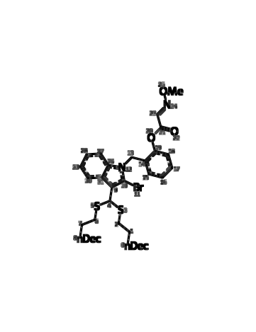 CCCCCCCCCCCCSC(SCCCCCCCCCCCC)c1c(Br)n(Cc2ccccc2OC(=O)C=NOC)c2ccccc12